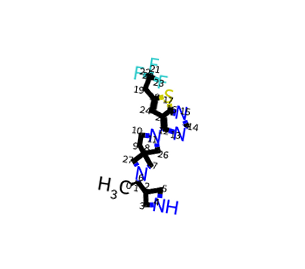 C[C@H](C1CNC1)N1CC2(CCN(c3ncnc4sc(CC(F)(F)F)cc34)C2)C1